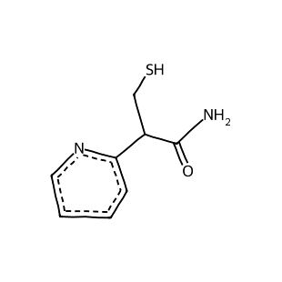 NC(=O)C(CS)c1ccccn1